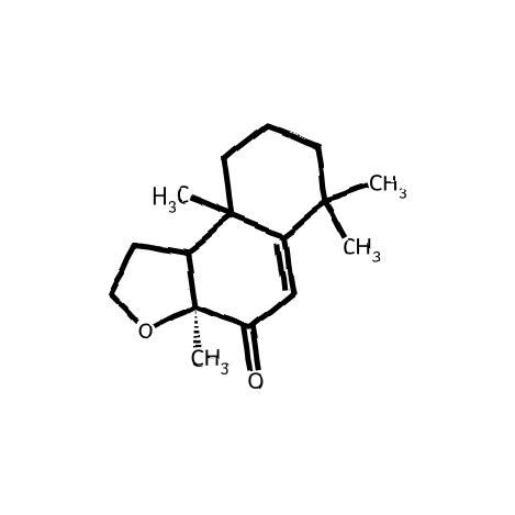 CC1(C)CCCC2(C)C1=CC(=O)[C@@]1(C)OCCC21